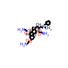 C[C@H](CCCN(C)Cc1ccccc1)[C@H]1CC[C@H]2C3[C@H](OC(=O)CN)CC4C[C@H](OC(=O)CN)CC[C@]4(C)[C@H]3C[C@H](OC(=O)CN)C12C